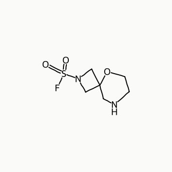 O=S(=O)(F)N1CC2(CNCCO2)C1